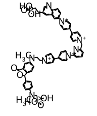 CN(CC[n+]1ccc(-c2cc[n+](-c3cccc(C[n+]4ccc(-c5cc[n+](-c6ccc7ncc(CCP(=O)(O)O)cc7c6)cc5)cc4)n3)cc2)cc1)c1ccc2c(c1)C(=O)OC2c1ccc(N(C)CP(=O)(O)O)cc1